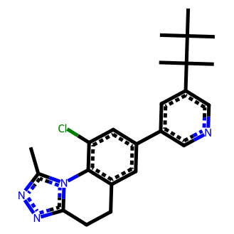 Cc1nnc2n1-c1c(Cl)cc(-c3cncc(C(C)(C)C(C)(C)C)c3)cc1CC2